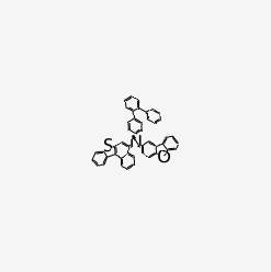 c1ccc(-c2ccccc2-c2ccc(N(c3ccc4oc5ccccc5c4c3)c3cc4sc5ccccc5c4c4ccccc34)cc2)cc1